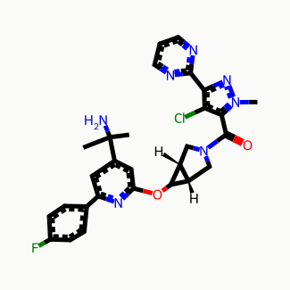 Cn1nc(-c2ncccn2)c(Cl)c1C(=O)N1C[C@@H]2C(Oc3cc(C(C)(C)N)cc(-c4ccc(F)cc4)n3)[C@@H]2C1